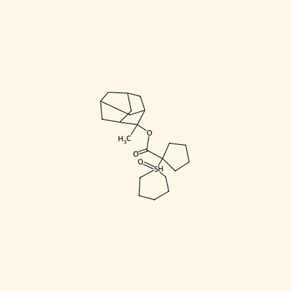 CC1(OC(=O)C2([SH]3(=O)CCCCC3)CCCC2)C2CC3CC(C2)CC1C3